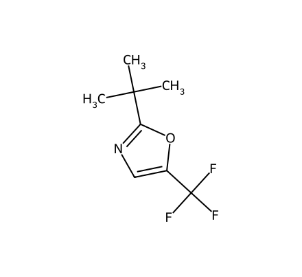 CC(C)(C)c1ncc(C(F)(F)F)o1